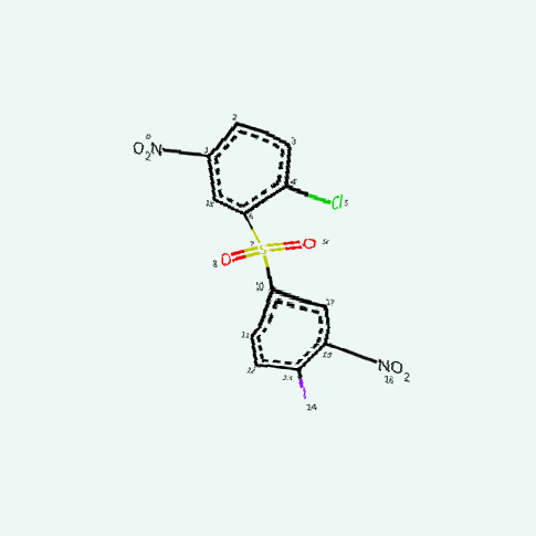 O=[N+]([O-])c1ccc(Cl)c(S(=O)(=O)c2ccc(I)c([N+](=O)[O-])c2)c1